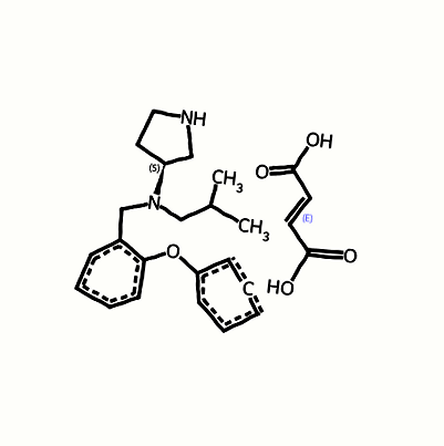 CC(C)CN(Cc1ccccc1Oc1ccccc1)[C@H]1CCNC1.O=C(O)/C=C/C(=O)O